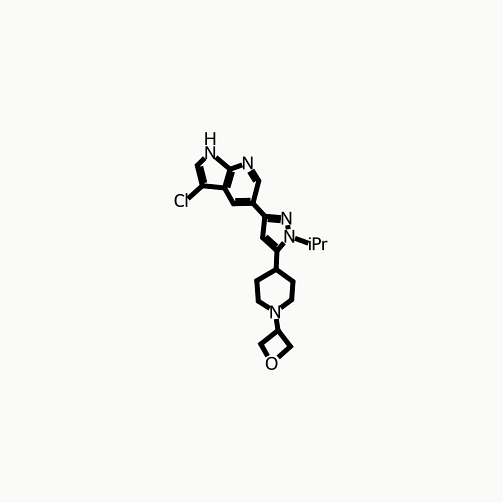 CC(C)n1nc(-c2cnc3[nH]cc(Cl)c3c2)cc1C1CCN(C2COC2)CC1